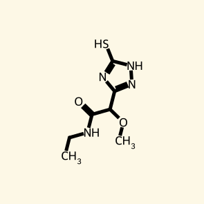 CCNC(=O)C(OC)c1n[nH]c(S)n1